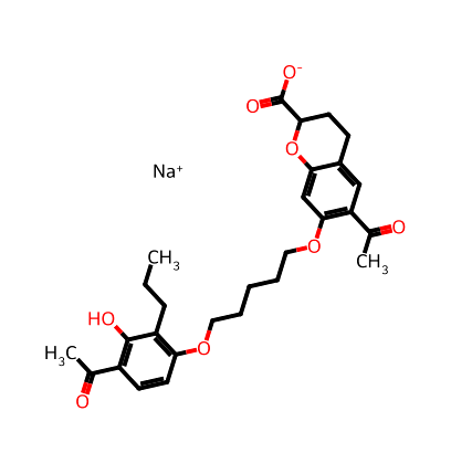 CCCc1c(OCCCCCOc2cc3c(cc2C(C)=O)CCC(C(=O)[O-])O3)ccc(C(C)=O)c1O.[Na+]